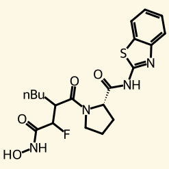 CCCCC(C(=O)N1CCC[C@H]1C(=O)Nc1nc2ccccc2s1)C(F)C(=O)NO